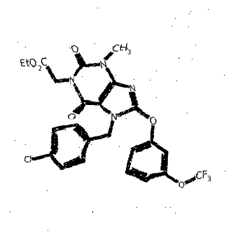 CCOC(=O)Cn1c(=O)c2c(nc(Oc3cccc(OC(F)(F)F)c3)n2Cc2ccc(Cl)cc2)n(C)c1=O